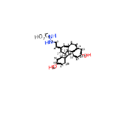 O=C(O)NNCC=C1C=C2CCc3cc(O)ccc3C2(Cc2ccc(O)cc2)CC1